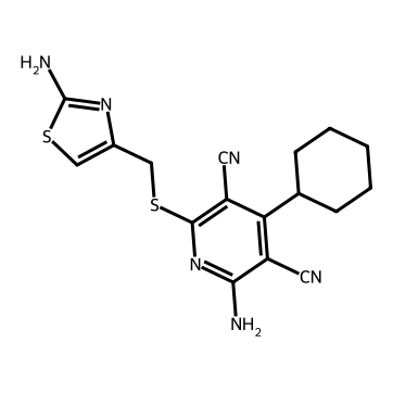 N#Cc1c(N)nc(SCc2csc(N)n2)c(C#N)c1C1CCCCC1